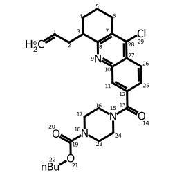 C=CCC1CCCc2c1nc1cc(C(=O)N3CCN(C(=O)OCCCC)CC3)ccc1c2Cl